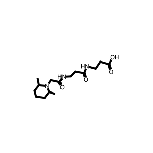 CC1CCCC(C)N1CC(=O)NCCC(=O)NCCC(=O)O